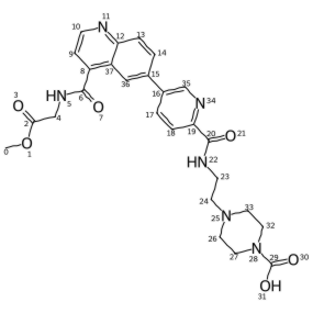 COC(=O)CNC(=O)c1ccnc2ccc(-c3ccc(C(=O)NCCN4CCN(C(=O)O)CC4)nc3)cc12